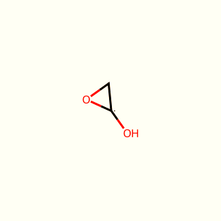 O[C]1CO1